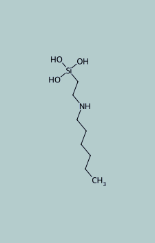 CCCCCCNCC[Si](O)(O)O